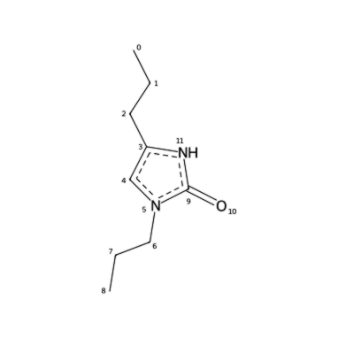 CCCc1cn(CCC)c(=O)[nH]1